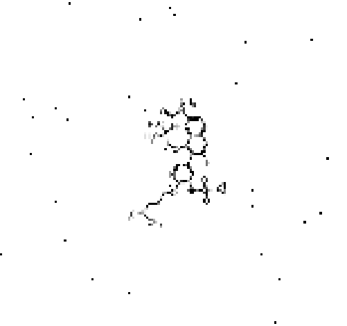 CN(C)CCCOc1ncc(-c2c(F)cc3ncc4c5c3c2OCC(C)(C)n5c(=O)n4C)cc1NS(=O)(=O)C1CC1